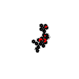 CC1(C)c2ccccc2-c2ccc(N(c3ccc(-c4ccccc4)cc3)c3cc4c5c(c3)-c3ccccc3N(c3cccc(-c6cc(N(c7ccc(-c8ccccc8)cc7)c7ccc(-c8ccc9c(c8)-c8cccc%10c8B(N(c8ccccc8)c8ccccc8-%10)N9c8ccccc8)cc7)c7c(c6)C(C)(C)c6ccccc6-7)c3)B5N(c3ccccc3)c3ccccc3-4)cc21